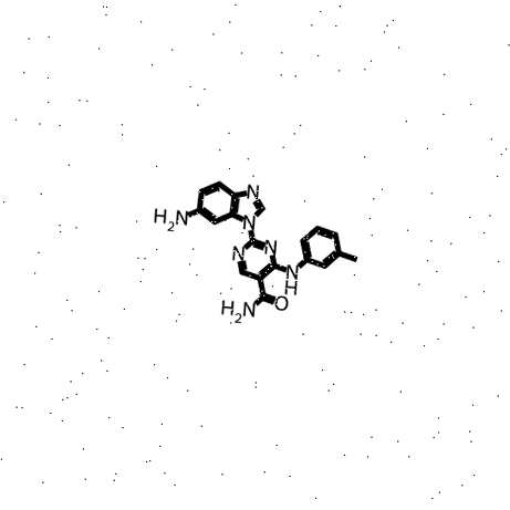 Cc1cccc(Nc2nc(-n3cnc4ccc(N)cc43)ncc2C(N)=O)c1